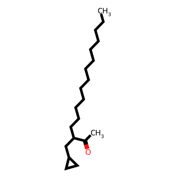 CCCCCCCCCCCCCC(CC1CC1)C(C)=O